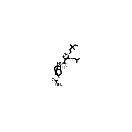 CCC(C)(C)/C=C/n1ncc(C(=O)N[C@H]2C3CC4CC2C[C@](OC(N)=O)(C4)C3)c1OCC(C)C